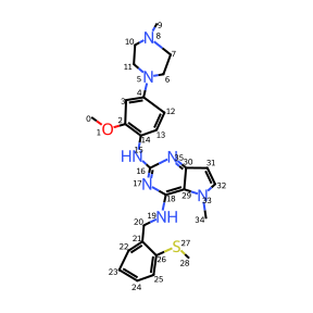 COc1cc(N2CCN(C)CC2)ccc1Nc1nc(NCc2ccccc2SC)c2c(ccn2C)n1